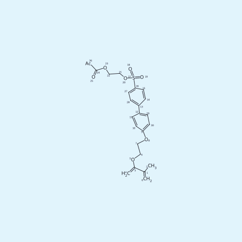 C=C(C)C(=C)OCCOc1ccc(-c2ccc(S(=O)(=O)OCCOC(=O)C(C)=O)cc2)cc1